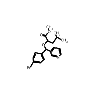 COC(=O)C(CC(C)C)OC(c1ccc(Br)cc1)c1cccnc1